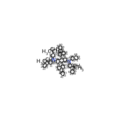 CC(C)(C)c1ccc(N(c2ccc3c(c2)C(C)(C)c2ccccc2-3)c2ccc3c(-c4ccc5c6c(cccc46)-c4ccccc4-5)c4cc(N(c5ccc6c(c5)C(C)(C)c5ccccc5-6)c5ccc6ccccc6c5)ccc4c(-c4ccc5c6c(cccc46)-c4ccccc4-5)c3c2)cc1